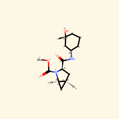 CC(C)(C)OC(=O)N1[C@@H](C(=O)N[C@@H]2CCC[C@@](C)(O)C2)C[C@H]2C[C@H]21